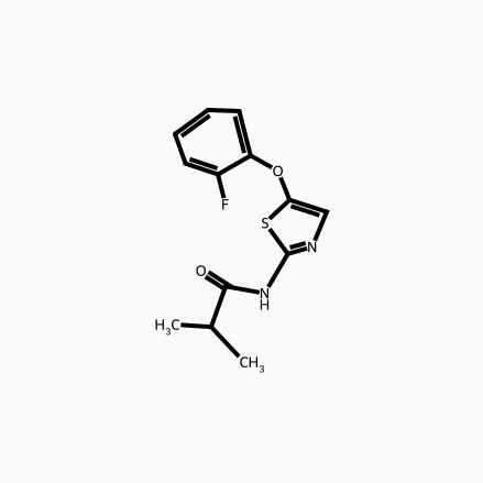 CC(C)C(=O)Nc1ncc(Oc2ccccc2F)s1